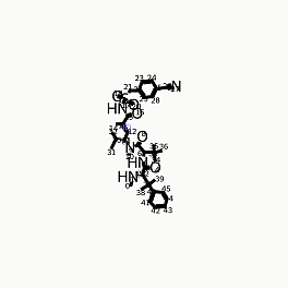 CN[C@H](C(=O)NC(C(=O)N(C)[C@H](/C=C(\C)C(=O)NS(=O)(=O)Cc1ccc(C#N)cc1)C(C)C)C(C)(C)C)C(C)(C)c1ccccc1